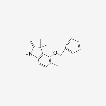 C=C1N(C)c2ccc(C)c(OCc3ccccc3)c2C1(C)C